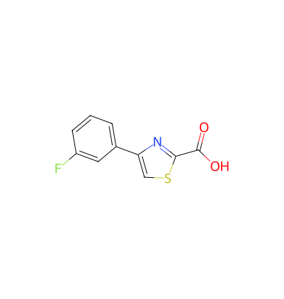 O=C(O)c1nc(-c2cccc(F)c2)cs1